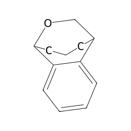 c1ccc2c(c1)C1CCCC2OC1